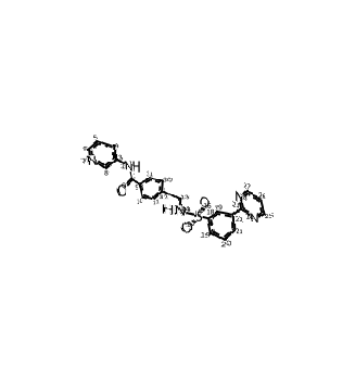 O=C(Nc1cccnc1)c1ccc(CNS(=O)(=O)c2cccc(-c3ncccn3)c2)cc1